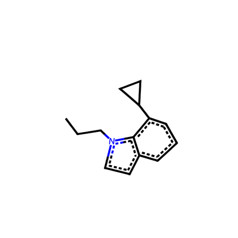 CCCn1ccc2cccc(C3CC3)c21